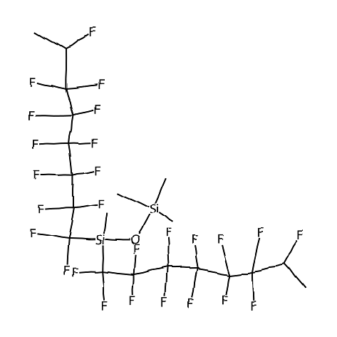 CC(F)C(F)(F)C(F)(F)C(F)(F)C(F)(F)C(F)(F)C(F)(F)[Si](C)(O[Si](C)(C)C)C(F)(F)C(F)(F)C(F)(F)C(F)(F)C(F)(F)C(F)(F)C(C)F